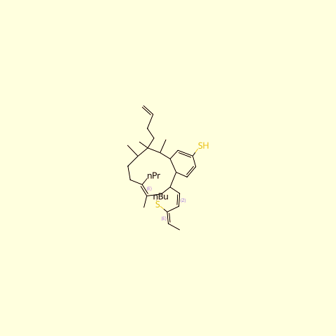 C=CCCC1(C)C(C)CC/C(CCC)=C(\C)CC(/C=C\C(=C/C)SCCCC)C2C=CC(S)=CC2C1C